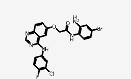 Nc1cc(Br)ccc1NC(=O)COc1ccc2ncnc(Nc3ccc(F)c(Cl)c3)c2c1